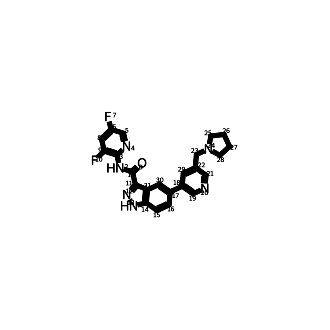 O=C(Nc1ncc(F)cc1F)c1n[nH]c2ccc(-c3cncc(CN4CCCC4)c3)cc12